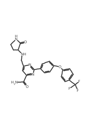 NC(=O)c1cc(CNC2CCNC2=O)nc(-c2ccc(Oc3ccc(C(F)(F)F)cc3)cc2)n1